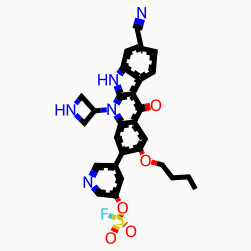 CCCCOc1cc2c(=O)c3c4ccc(C#N)cc4[nH]c3n(C3CNC3)c2cc1-c1cncc(OS(=O)(=O)F)c1